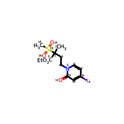 CCOC(=O)C(C)(CCn1ccc(I)cc1=O)S(C)(=O)=O